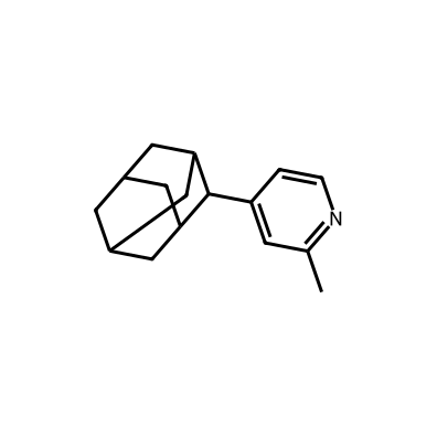 Cc1cc(C2C3CC4CC(C3)CC2C4)ccn1